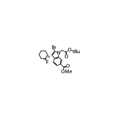 COC(=O)c1ccc2c([C@H]3CCCC[C@@H]3F)c(Br)n(CC(=O)OC(C)(C)C)c2c1